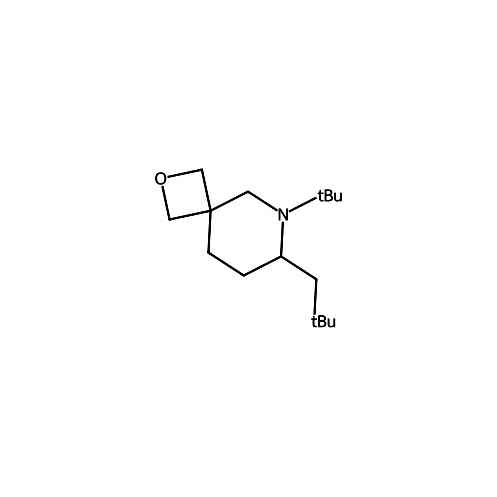 CC(C)(C)CC1CCC2(COC2)CN1C(C)(C)C